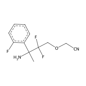 CC(N)(c1ccccc1F)C(F)(F)COCC#N